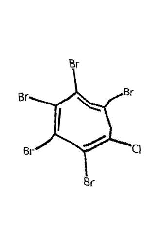 Clc1c(Br)c(Br)c(Br)c(Br)c1Br